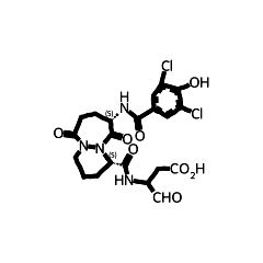 O=CC(CC(=O)O)NC(=O)[C@@H]1CCCN2C(=O)CC[C@H](NC(=O)c3cc(Cl)c(O)c(Cl)c3)C(=O)N12